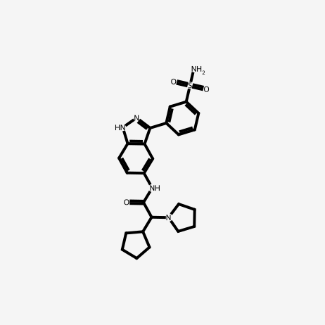 NS(=O)(=O)c1cccc(-c2n[nH]c3ccc(NC(=O)C(C4CCCC4)N4CCCC4)cc23)c1